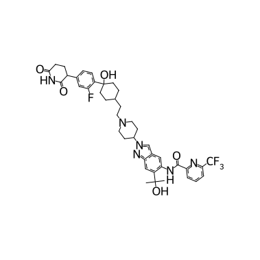 CC(C)(O)c1cc2nn(C3CCN(CCC4CCC(O)(c5ccc(C6CCC(=O)NC6=O)cc5F)CC4)CC3)cc2cc1NC(=O)c1cccc(C(F)(F)F)n1